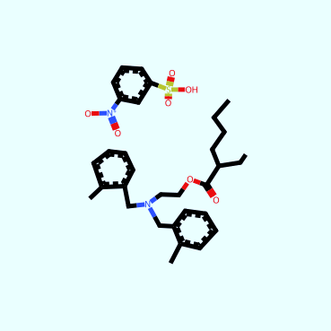 CCCCC(CC)C(=O)OCCN(Cc1ccccc1C)Cc1ccccc1C.O=[N+]([O-])c1cccc(S(=O)(=O)O)c1